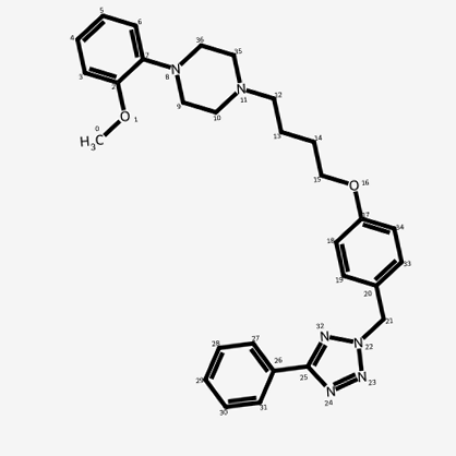 COc1ccccc1N1CCN(CCCCOc2ccc(Cn3nnc(-c4ccccc4)n3)cc2)CC1